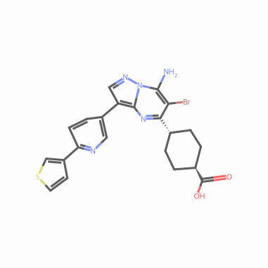 Nc1c(Br)c([C@H]2CC[C@H](C(=O)O)CC2)nc2c(-c3ccc(-c4ccsc4)nc3)cnn12